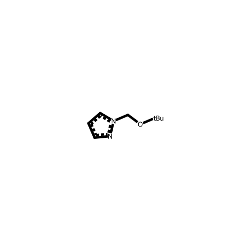 CC(C)(C)OCn1cccn1